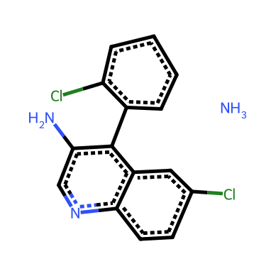 N.Nc1cnc2ccc(Cl)cc2c1-c1ccccc1Cl